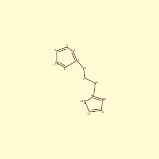 [CH](CCc1cccnc1)c1cccs1